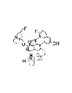 C#Cc1c(F)ccc2cc(O)cc(-c3c4c(c5c(N6C[C@@H]7CC[C@](C8CC8)(C6)N7)nc(OC[C@@]67CCCN6C/C(=C/F)C7)nc5c3F)OCCC4)c12